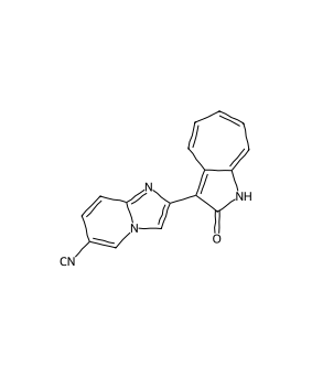 [C-]#[N+]c1ccc2nc(-c3c4cccccc-4[nH]c3=O)cn2c1